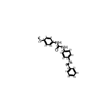 CSc1ccc(NC(=O)Nc2ccc(N=Nc3ccccc3)cc2)cc1